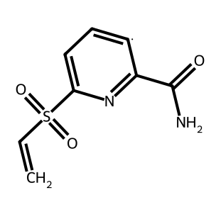 C=CS(=O)(=O)c1cc[c]c(C(N)=O)n1